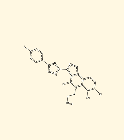 COCCn1c(=O)c2c(-c3noc(-c4ccc(F)cc4)n3)ncn2c2ccc(Cl)c(C#N)c21